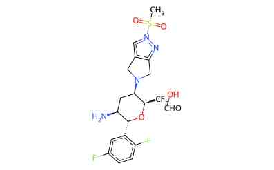 CS(=O)(=O)n1cc2c(n1)CN([C@@H]1C[C@H](N)[C@@H](c3cc(F)ccc3F)O[C@@H]1C(F)(F)F)C2.O=CO